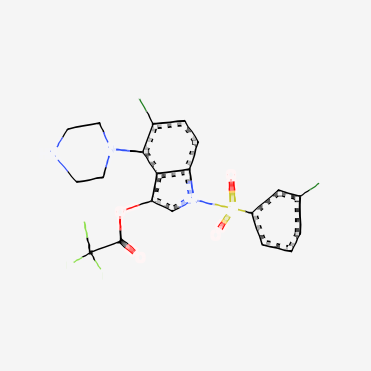 O=C(Oc1cn(S(=O)(=O)c2cccc(Cl)c2)c2ccc(Cl)c(N3CCNCC3)c12)C(F)(F)F